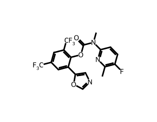 Cc1nc(N(C)C(=O)Oc2c(-c3cnco3)cc(C(F)(F)F)cc2C(F)(F)F)ccc1F